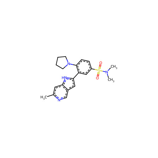 Cc1cc2[nH]c(-c3cc(S(=O)(=O)N(C)C)ccc3N3CCCC3)cc2cn1